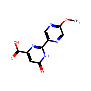 COc1cnc(-c2nc(C(=O)O)cc(=O)[nH]2)cn1